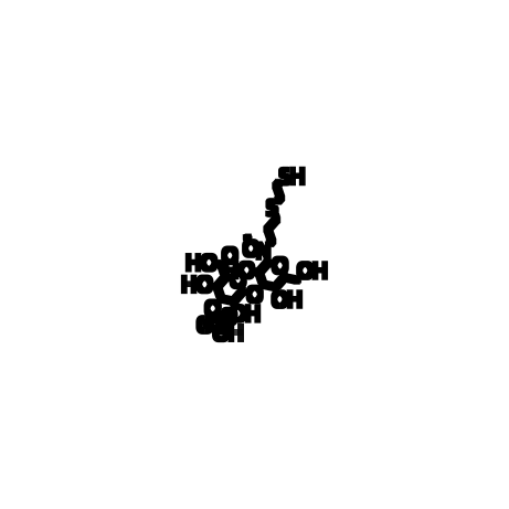 CON(CCCSCCS)[C@@H]1OC(CO)[C@H](O)C(O[C@@H]2OC(C(=O)O)[C@@H](O)C(OS(=O)(=O)O)C2O)C1O